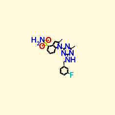 Cc1nc(NCc2cccc(F)c2)nc(-n2c(C)cc3c(S(N)(=O)=O)cccc32)n1